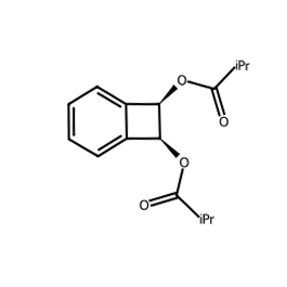 CC(C)C(=O)O[C@@H]1c2ccccc2[C@@H]1OC(=O)C(C)C